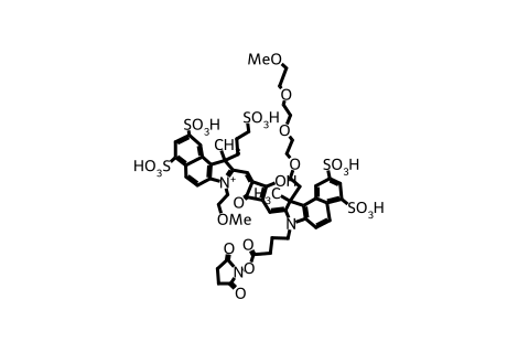 COCCOCCOCCOCCC1(C)/C(=C\C2=C(O)C(=C/C3=[N+](CCOC)c4ccc5c(S(=O)(=O)O)cc(S(=O)(=O)O)cc5c4C3(C)CCCS(=O)(=O)O)/C2=O)N(CCCC(=O)ON2C(=O)CCC2=O)c2ccc3c(S(=O)(=O)O)cc(S(=O)(=O)O)cc3c21